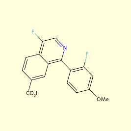 COc1ccc(-c2ncc(F)c3ccc(C(=O)O)cc23)c(F)c1